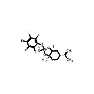 C=C(C)[C@@H]1CC[C@]2(C)O[PH](S)(Sc3c(F)c(F)c(F)c(F)c3F)S[C@H]2C1